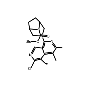 Cc1nc(N2CC3CCC(C2)N3C(=O)OC(C)(C)C)c2cnc(Cl)c(F)c2c1C